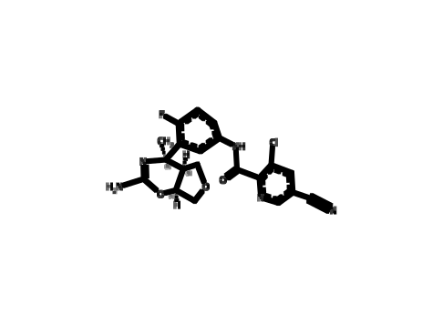 C[C@@]1(c2cc(NC(=O)c3ncc(C#N)cc3Cl)ccc2F)N=C(N)O[C@@H]2COC[C@@H]21